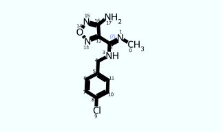 C/N=C(\NCc1ccc(Cl)cc1)c1nonc1N